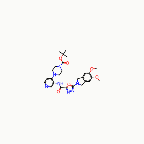 COc1cc2c(cc1OC)CN(c1nnc(C(=O)Nc3cnccc3N3CCN(C(=O)OC(C)(C)C)CC3)o1)C2